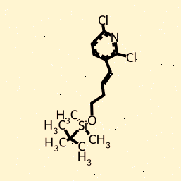 CC(C)(C)[Si](C)(C)OCC/C=C/c1ccc(Cl)nc1Cl